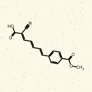 COC(=O)c1ccc(/C=C/C=C/C=C(\C#N)C(=O)O)cc1